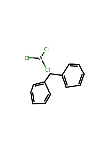 [Cl][Al]([Cl])[Cl].[c]1ccc(Cc2ccccc2)cc1